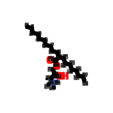 CCCCCCCCCCC(CCCCCCCC)C(=O)OCC(O)C[N+](C)(C)C